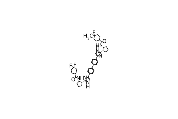 CC1(F)CCC(C(=O)N[C@@H]2CCC[C@H]2c2nc(-c3ccc(-c4ccc(-c5c[nH]c([C@@H]6CCC[C@@H]6NC(=O)C6CCC(F)(F)CC6)n5)cc4)cc3)c[nH]2)CC1